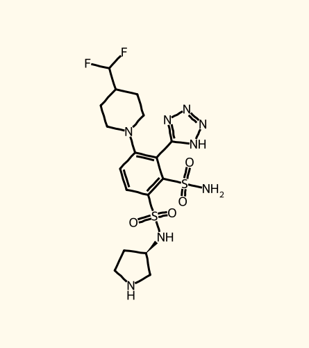 NS(=O)(=O)c1c(S(=O)(=O)N[C@@H]2CCNC2)ccc(N2CCC(C(F)F)CC2)c1-c1nnn[nH]1